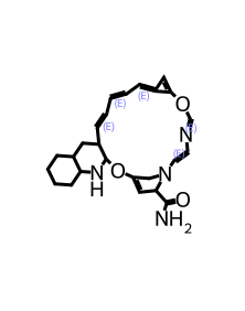 NC(=O)C1C=C2CN1/C=C/N=C/OC1=CC\1=C/C=C/C=C/C1CC3CCCCC3NC1O2